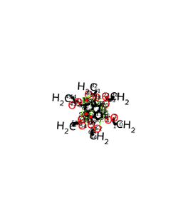 C=CC(=O)OCC1(F)CC2(F)C3C(F)(C1(F)F)C(F)(COC(=O)C=C)C(F)(COC(=O)C=C)C1(F)C(F)(F)C(F)(COC(=O)C=C)CC(F)(C(F)(COC(=O)C=C)C2(F)COC(=O)C=C)C31F